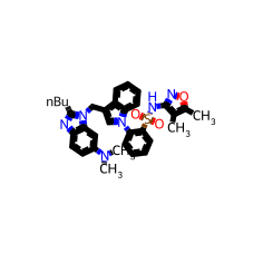 CCCCc1nc2ccc(N(C)C)cc2n1Cc1cn(-c2ccccc2S(=O)(=O)Nc2noc(C)c2C)c2ccccc12